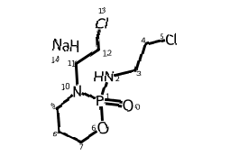 O=P1(NCCCl)OCCCN1CCCl.[NaH]